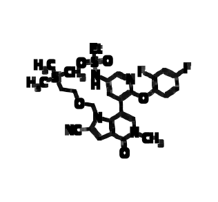 CCS(=O)(=O)Nc1cnc(Oc2ccc(F)cc2F)c(-c2cn(C)c(=O)c3cc(C#N)n(COCC[Si](C)(C)C)c23)c1